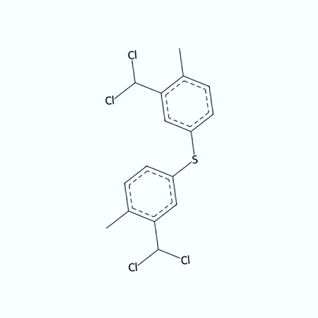 Cc1ccc(Sc2ccc(C)c(C(Cl)Cl)c2)cc1C(Cl)Cl